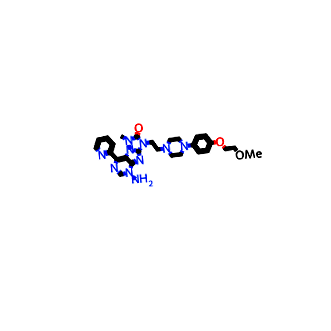 COCCOc1ccc(N2CCN(CCN3C(=O)N(C)N4C5=C(c6ccccn6)N=CN(N)C5=NC34)CC2)cc1